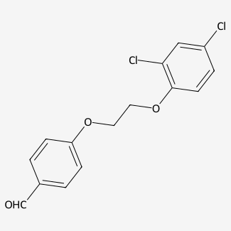 O=Cc1ccc(OCCOc2ccc(Cl)cc2Cl)cc1